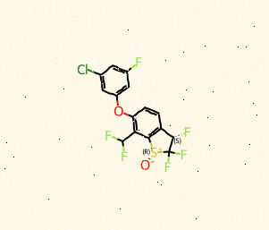 [O-][S@@+]1c2c(ccc(Oc3cc(F)cc(Cl)c3)c2C(F)F)[C@H](F)C1(F)F